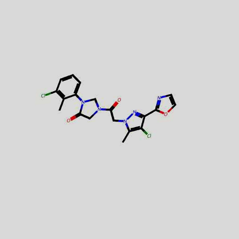 Cc1c(Cl)cccc1N1CN(C(=O)Cn2nc(-c3ncco3)c(Cl)c2C)CC1=O